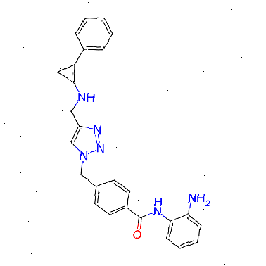 Nc1ccccc1NC(=O)c1ccc(Cn2cc(CNC3CC3c3ccccc3)nn2)cc1